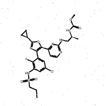 CCCS(=O)(=O)Nc1cc(Cl)cc(-c2nc(C3CC3)oc2-c2ccnc(NC[C@H](C)NC(=O)OC)n2)c1F